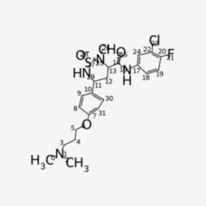 CN(C)CCCOc1ccc(C2CC(C(=O)Nc3ccc(F)c(Cl)c3)N(C)[S+]([O-])N2)cc1